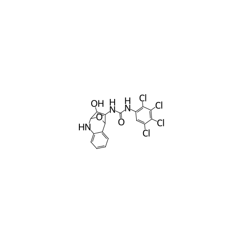 O=C(NC1=C(O)C2Nc3ccccc3C1O2)Nc1cc(Cl)c(Cl)c(Cl)c1Cl